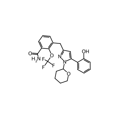 NC(=O)c1cccc(Cc2cc(-c3ccccc3O)n(C3CCCCO3)n2)c1OC(F)(F)F